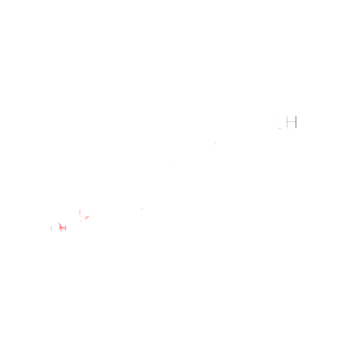 CCCCCCCCCC=CCO[C]=O